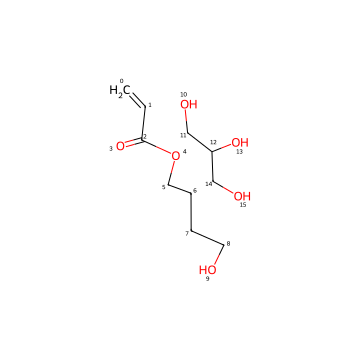 C=CC(=O)OCCCCO.OCC(O)CO